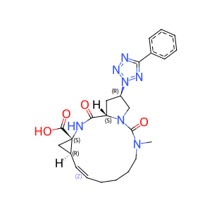 CN1CCCC/C=C\[C@H]2C[C@]2(C(=O)O)NC(=O)[C@@H]2C[C@@H](n3nnc(-c4ccccc4)n3)CN2C1=O